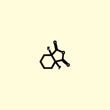 O=C1OC(=O)C2(F)CCCCC12F